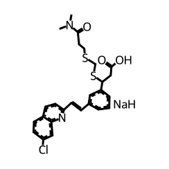 CN(C)C(=O)CCSCSC(CC(=O)O)c1cccc(C=Cc2ccc3ccc(Cl)cc3n2)c1.[NaH]